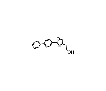 OCCc1coc(-c2ccc(-c3ccccc3)cc2)n1